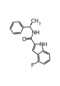 C[C@@H](NC(=O)c1cc2c(F)cccc2[nH]1)c1ccccc1